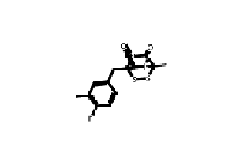 Cc1cc(CC23SSC(C)(C(=O)N2C)N(C)C3=O)ccc1F